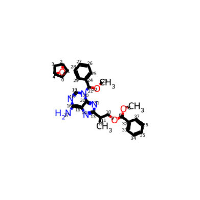 C1CC2CC1O2.COC(OCC(C)c1nc2c(N)ncn(C(OC)c3ccccc3)c-2n1)c1ccccc1